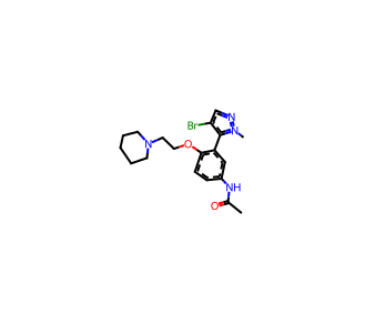 CC(=O)Nc1ccc(OCCN2CCCCC2)c(-c2c(Br)cnn2C)c1